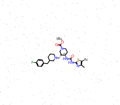 CC(=O)c1sc(NC(=O)N[C@@H]2CCN(C(=O)OC(C)(C)C)C[C@H]2CN2CCCC(Cc3ccc(F)cc3)C2)nc1C